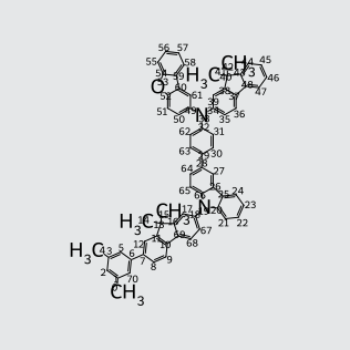 Cc1cc(C)cc(-c2ccc3c(c2)C(C)(C)c2cc(-n4c5ccccc5c5cc(-c6ccc(N(c7ccc8c(c7)C(C)(C)c7ccccc7-8)c7ccc8oc9ccccc9c8c7)cc6)ccc54)ccc2-3)c1